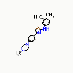 Cc1ccc(Nc2nc(-c3ccc(N4CCN(C)CC4)cc3)cs2)cc1C